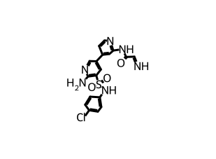 N=CC(=O)Nc1cc(-c2cnc(N)c(S(=O)(=O)Nc3ccc(Cl)cc3)c2)ccn1